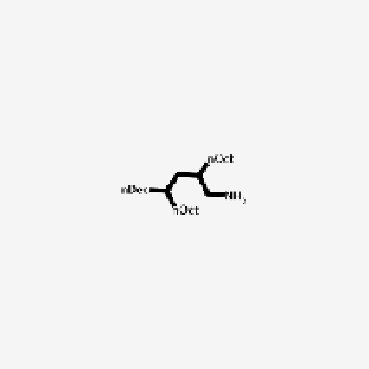 CCCCCCCCCCC(CCCCCCCC)CC(CN)CCCCCCCC